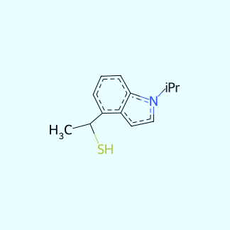 CC(S)c1cccc2c1ccn2C(C)C